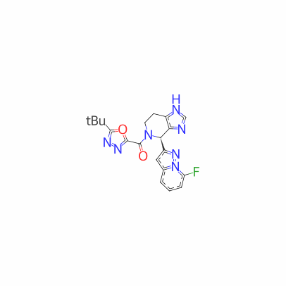 CC(C)(C)c1nnc(C(=O)N2CCc3[nH]cnc3[C@H]2c2cc3cccc(F)n3n2)o1